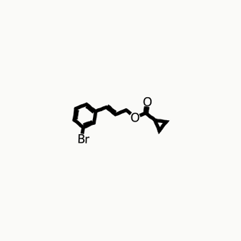 O=C(OCC=Cc1cccc(Br)c1)C1CC1